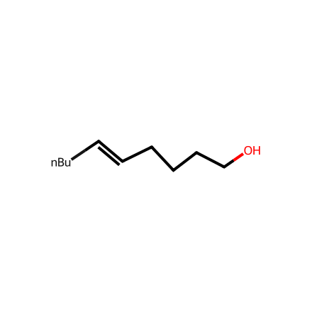 CCCCC=CCCCCO